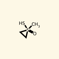 CS1(=O)(S)CC1